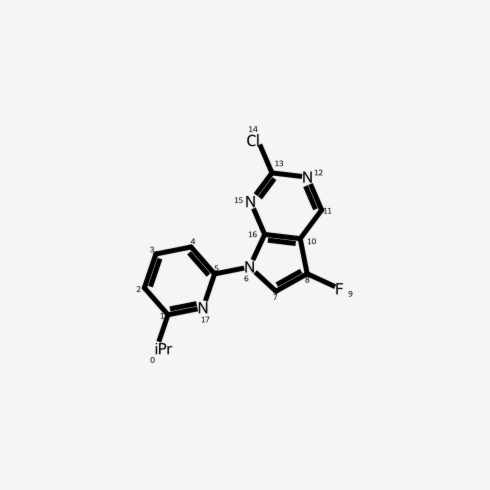 CC(C)c1cccc(-n2cc(F)c3cnc(Cl)nc32)n1